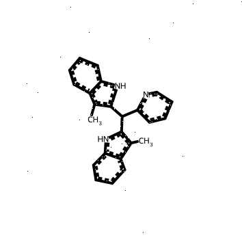 Cc1c(C(c2ccccn2)c2[nH]c3ccccc3c2C)[nH]c2ccccc12